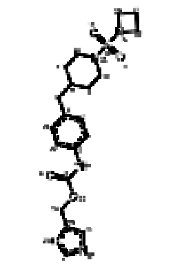 O=C(Nc1ccc(CC2CCN(S(=O)(=O)N3CCC3)CC2)cc1)OCc1cnco1